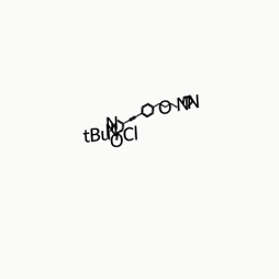 CC(C)(C)n1ncc(C#Cc2ccc(COCCn3ccnc3)cc2)c(Cl)c1=O